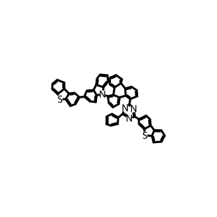 c1ccc(-c2nc(-c3ccc4c(c3)sc3ccccc34)nc(-c3cccc4c5ccccc5c5c(-n6c7ccccc7c7cc(-c8ccc9sc%10ccccc%10c9c8)ccc76)cccc5c34)n2)cc1